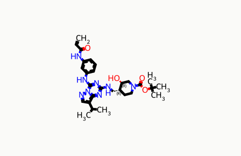 C=CC(=O)Nc1cccc(Nc2nc(NC[C@H]3CCN(C(=O)OC(C)(C)C)C[C@@H]3O)nc3c(C(C)C)cnn23)c1